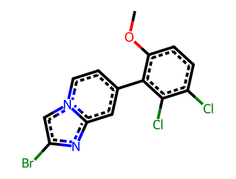 COc1ccc(Cl)c(Cl)c1-c1ccn2cc(Br)nc2c1